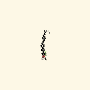 CCCCCC1CCC(/C=C/CCC2CCC(C3CCC(c4ccc(OCC)c(F)c4F)CC3)CC2)CC1